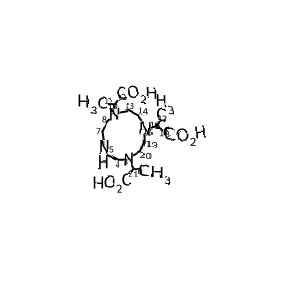 CC(C(=O)O)N1CCNCCN(C(C)C(=O)O)CCN(C(C)C(=O)O)CC1